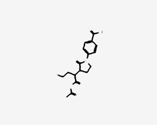 CC(=O)OC(=O)C(CCN)C1CCN(c2ccc(C(=N)N)cc2)C1=O